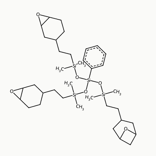 C[Si](C)(CCC1CC2CC(C1)O2)O[Si](O[Si](C)(C)CCC1CCC2OC2C1)(O[Si](C)(C)CCC1CCC2OC2C1)c1ccccc1